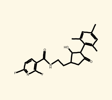 Cc1cc(C)c(C2C(=O)CC(CCNC(=O)c3ccc(F)nc3F)C2O)c(C)c1